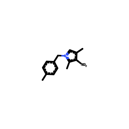 Cc1ccc(Cn2cc(C)c([N+](=O)[O-])c2C)cc1